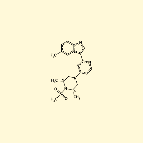 C[C@@H]1CN(c2ccnc(-c3cnc4ccc(C(F)(F)F)cn34)n2)C[C@H](C)N1S(C)(=O)=O